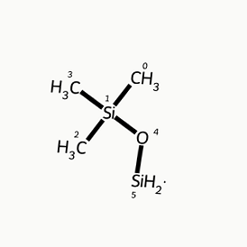 C[Si](C)(C)O[SiH2]